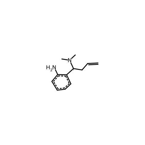 C=CC[C](c1ccccc1N)N(C)C